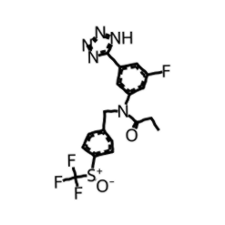 CCC(=O)N(Cc1ccc([S+]([O-])C(F)(F)F)cc1)c1cc(F)cc(-c2nnn[nH]2)c1